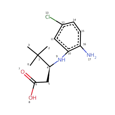 CC(C)(C)[C@H](CC(=O)O)Nc1cc(Cl)ccc1N